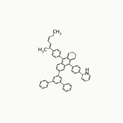 CC/C=C\C=C(/C)c1ccc(-c2c3c(c(-c4ccc(C5C=CC=CN5)cc4)c4cc(-c5cc(-c6ccccc6)cc(-c6ccccc6)c5)ccc24)=CCCC=3)cc1